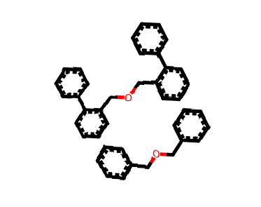 c1ccc(-c2ccccc2COCc2ccccc2-c2ccccc2)cc1.c1ccc(COCc2ccccc2)cc1